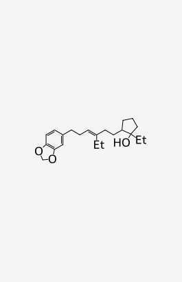 CC/C(=C\CCc1ccc2c(c1)OCO2)CCC1CCCC1(O)CC